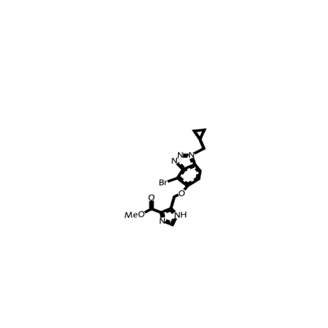 COC(=O)c1nc[nH]c1COc1ccc2c(nnn2CC2CC2)c1Br